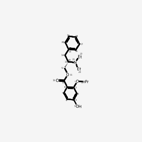 CCCOc1cc(O)ccc1C(=O)OC[C@H](Cc1ccccc1)N(CC)CC